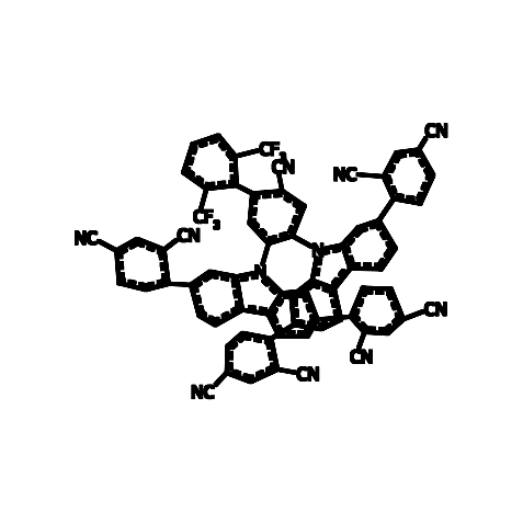 N#Cc1ccc(-c2ccc3c4ccc(-c5ccc(C#N)cc5C#N)cc4n(-c4cc(C#N)c(-c5c(C(F)(F)F)cccc5C(F)(F)F)cc4-n4c5cc(-c6ccc(C#N)cc6C#N)ccc5c5ccc(-c6ccc(C#N)cc6C#N)cc54)c3c2)c(C#N)c1